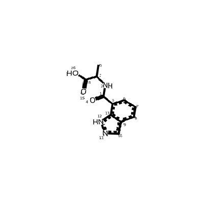 CC(NC(=O)c1cccc2cn[nH]c12)C(=O)O